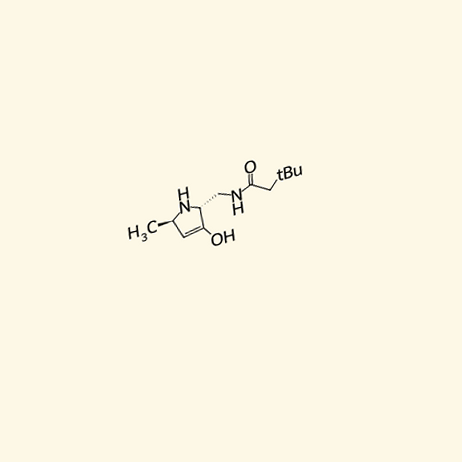 C[C@@H]1C=C(O)[C@@H](CNC(=O)CC(C)(C)C)N1